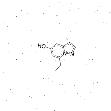 CCc1cc(O)cc2ccnn12